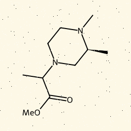 COC(=O)C(C)N1CCN(C)[C@@H](C)C1